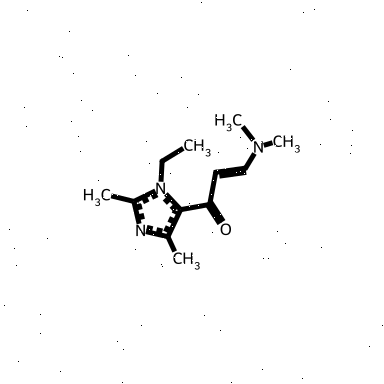 CCn1c(C)nc(C)c1C(=O)C=CN(C)C